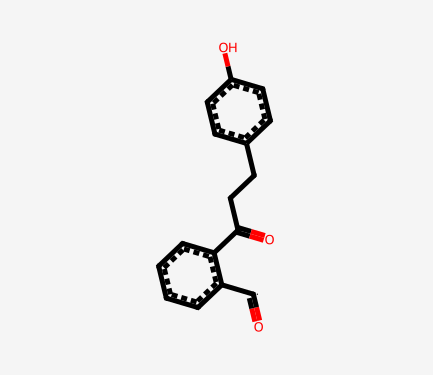 O=[C]c1ccccc1C(=O)CCc1ccc(O)cc1